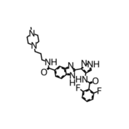 CN1CCN(CCCNC(=O)c2ccc3[nH]c(-c4n[nH]cc4NC(=O)c4c(F)cccc4F)nc3c2)CC1